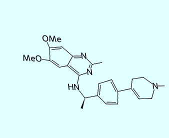 COc1cc2nc(C)nc(N[C@H](C)c3ccc(C4=CCN(C)CC4)cc3)c2cc1OC